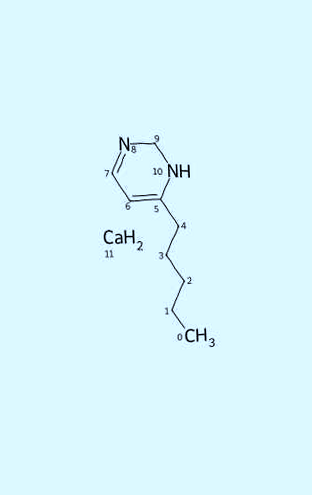 CCCCCC1=CC=NCN1.[CaH2]